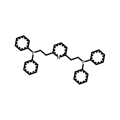 c1ccc(P(CCc2cccc(CCP(c3ccccc3)c3ccccc3)n2)c2ccccc2)cc1